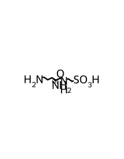 NCCC[C@H](N)C(=O)NCCS(=O)(=O)O